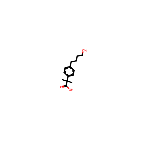 CC(C)(C(=O)O)c1ccc(CCCCO)cc1